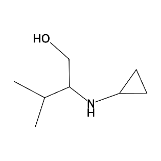 CC(C)C(CO)NC1CC1